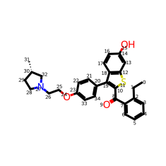 CCc1ccccc1C(=O)c1sc2cc(O)ccc2c1-c1ccc(OCCN2CC[C@H](C)C2)cc1